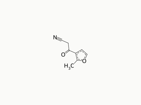 Cc1occc1C(=O)CC#N